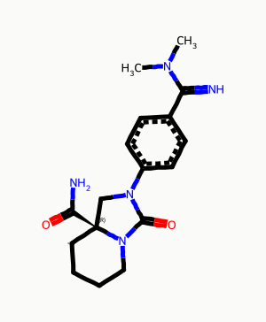 CN(C)C(=N)c1ccc(N2C[C@@]3(C(N)=O)[CH]CCCN3C2=O)cc1